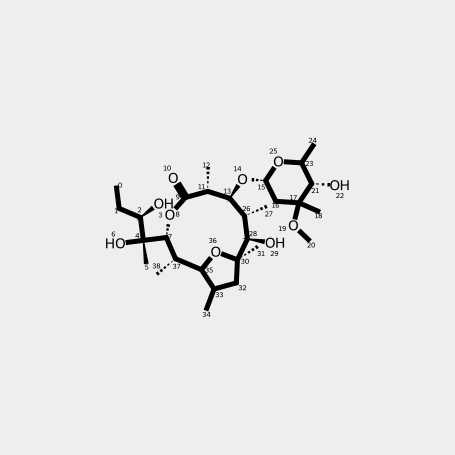 CC[C@@H](O)[C@@](C)(O)[C@@H]1OC(=O)[C@H](C)[C@@H](O[C@H]2CC(C)(OC)[C@@H](O)C(C)O2)[C@H](C)[C@@H](O)[C@@]2(C)CC(C)C(O2)[C@@H]1C